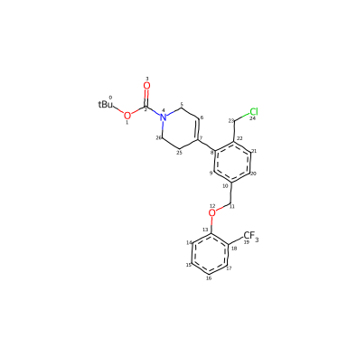 CC(C)(C)OC(=O)N1CC=C(c2cc(COc3ccccc3C(F)(F)F)ccc2CCl)CC1